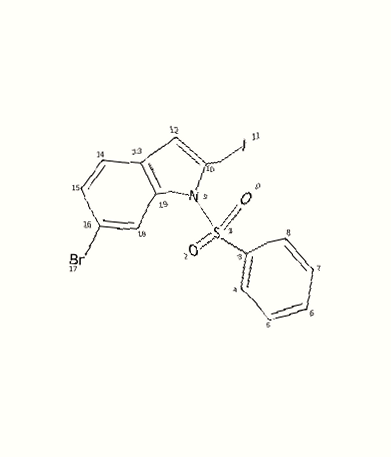 O=S(=O)(c1ccccc1)n1c(I)cc2ccc(Br)cc21